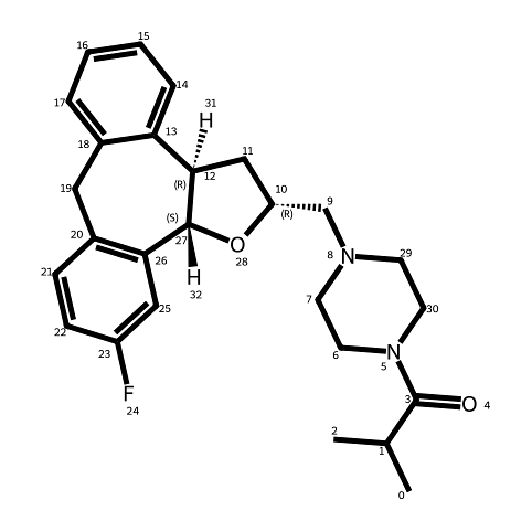 CC(C)C(=O)N1CCN(C[C@H]2C[C@@H]3c4ccccc4Cc4ccc(F)cc4[C@H]3O2)CC1